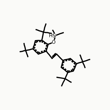 C[SiH](C)Oc1c(/C=C/c2cc(C(C)(C)C)cc(C(C)(C)C)c2)cc(C(C)(C)C)cc1C(C)(C)C